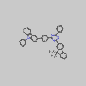 CC1(C)c2ccccc2-c2ccc(-c3nc(-c4ccccc4)nc(-c4ccc(-c5ccc6c(c5)c5c(n6-c6ccccc6)CCC=C5)cc4)n3)cc21